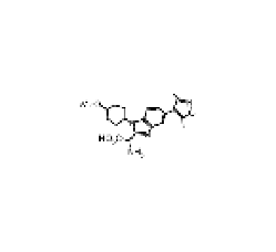 COC1CCC(n2c(C(N)C(=O)O)nc3cc(-c4c(C)noc4C)ccc32)CC1